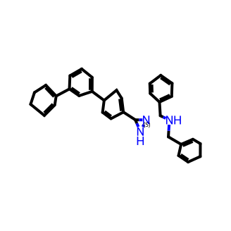 C1=CC(CNC(c2ccccc2)[N@@]2NC2C2=CCC(c3cccc(C4=CCCC=C4)c3)C=C2)=CCC1